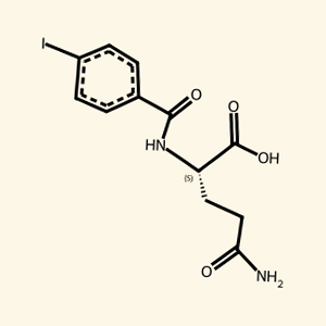 NC(=O)CC[C@H](NC(=O)c1ccc(I)cc1)C(=O)O